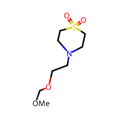 COCOCCN1CCS(=O)(=O)CC1